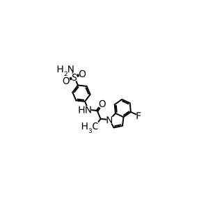 CC(C(=O)Nc1ccc(S(N)(=O)=O)cc1)n1ccc2c(F)cccc21